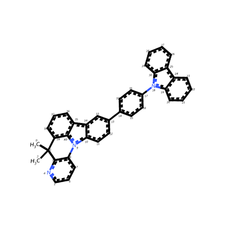 CC1(C)c2ncccc2-n2c3ccc(-c4ccc(-n5c6ccccc6c6ccccc65)cc4)cc3c3cccc1c32